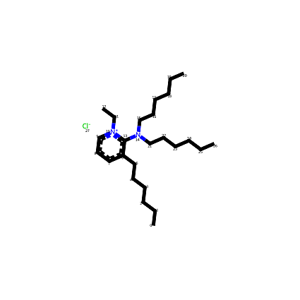 CCCCCCc1ccc[n+](CC)c1N(CCCCCC)CCCCCC.[Cl-]